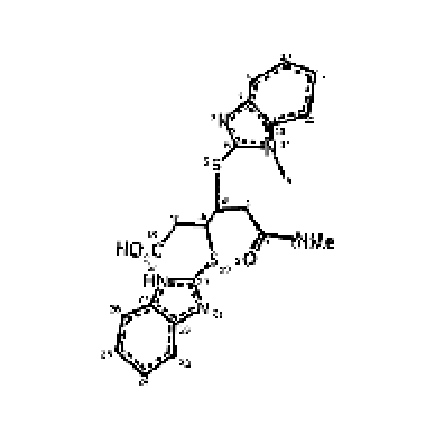 CNC(=O)CC(Sc1nc2ccccc2n1C)C(CC(=O)O)Sc1nc2ccccc2[nH]1